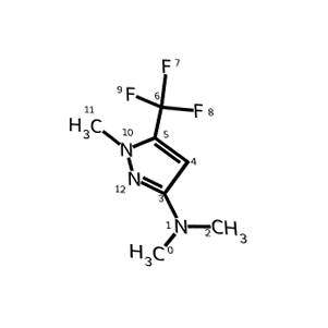 CN(C)c1cc(C(F)(F)F)n(C)n1